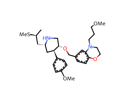 COCCCN1CCOc2ccc(CO[C@H]3CN[C@@H](C[C@H](C)SC)C[C@@H]3c3ccc(OC)cc3)cc21